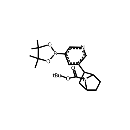 CC(C)(C)OC(=O)N1C2CCC1C(c1cncc(B3OC(C)(C)C(C)(C)O3)c1)C2